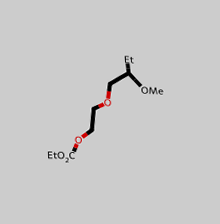 CCOC(=O)OCCOCC(CC)OC